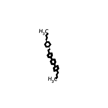 CCCCC[C@H]1CC[C@H](CCc2ccc(-c3ccc(-c4ccc(CCCC)cc4)cc3)cc2)CC1